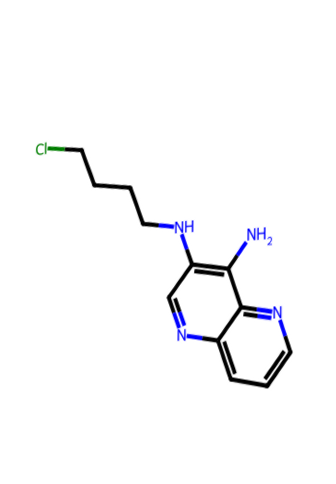 Nc1c(NCCCCCl)cnc2cccnc12